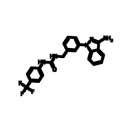 Nc1nn(-c2cccc(CNC(=O)Nc3ccc(C(F)(F)F)cc3)c2)c2ccccc12